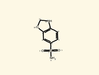 NS(=O)(=O)c1ccc2c(c1)OCN2